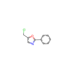 ClCc1cnc(-c2ccccc2)o1